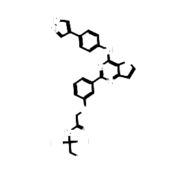 CCC(C)(C)NC(=O)COc1cccc(-c2nc(Nc3ccc(-c4cn[nH]c4)cc3)c3sccc3n2)c1